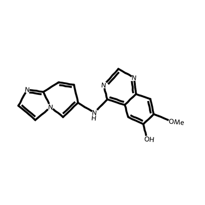 COc1cc2ncnc(Nc3ccc4nccn4c3)c2cc1O